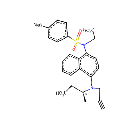 C#CCN(c1ccc(N(CC(=O)O)S(=O)(=O)c2ccc(OC)cc2)c2ccccc12)[C@@H](C)CC(=O)O